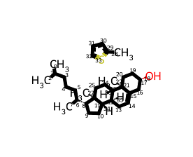 CC(C)CCCC(C)[C@H]1CC[C@H]2[C@@H]3CC=C4C[C@@H](O)CC[C@]4(C)[C@H]3CC[C@]12C.Cc1cccs1